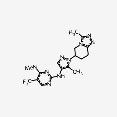 CNc1nc(Nc2cnn(C3CCc4nnc(C)n4C3)c2C)ncc1C(F)(F)F